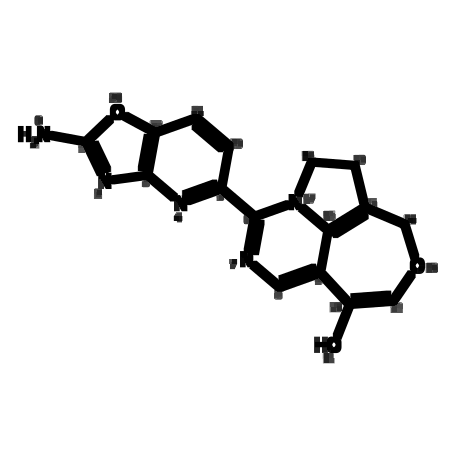 Nc1nc2nc(C3=NC=C4C(O)=COCC5=C4N3CC5)ccc2o1